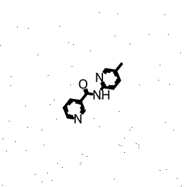 Cc1ccc(NC(=O)c2cccnc2)nc1